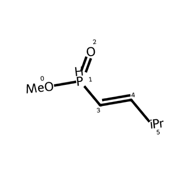 CO[PH](=O)C=CC(C)C